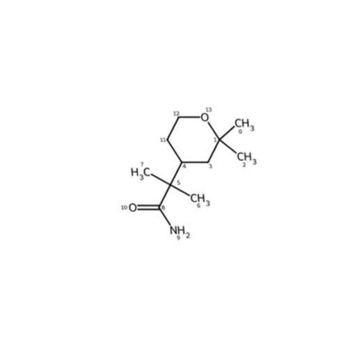 CC1(C)CC(C(C)(C)C(N)=O)CCO1